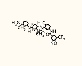 Cc1ccc(NC(=O)c2cc(N=O)cc(C(F)(F)F)c2)cc1N1Cc2cnc(Nc3cccc(N(C)C)c3)nc2N(C)C1=O